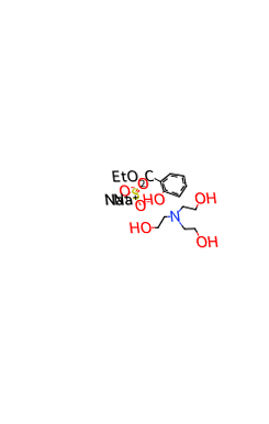 CCOC(=O)c1ccccc1O.O=S([O-])[O-].OCCN(CCO)CCO.[Na+].[Na+]